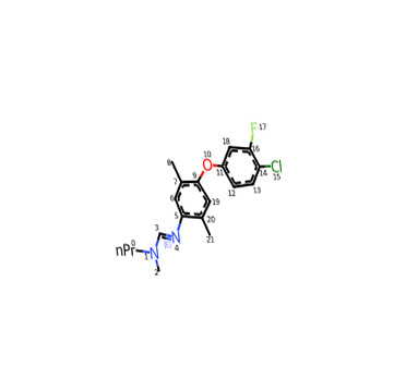 CCCN(C)/C=N/c1cc(C)c(Oc2ccc(Cl)c(F)c2)cc1C